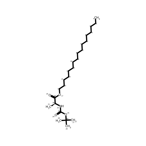 CCCCCCCCCCCCCCCCCOC(=O)[C@H](C)NC(=O)OC(C)(C)C